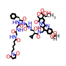 [2H]C1([2H])Oc2cc3nc4c(c(CNC(=O)[C@H](C(O)CNC(=O)CNC(=O)[C@H](Cc5ccccc5)NC(=O)CNC(=O)CNC(=O)CCCCCN5C(=O)C=CC5=O)C5CC5)c3cc2O1)Cn1c-4cc2c(c1=O)COC(=O)[C@]2(O)CC